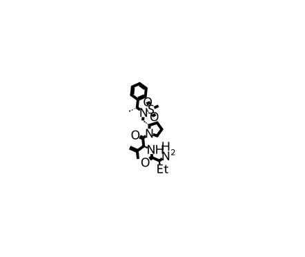 C=C(C)[C@H](NC(=O)[C@@H](N)CC)C(=O)N1CCC[C@H]1CN([C@H](C)c1ccccc1)S(C)(=O)=O